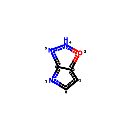 c1cc2o[nH]nc-2n1